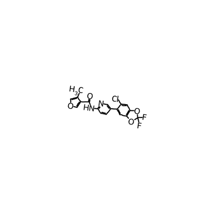 Cc1cocc1C(=O)Nc1ccc(-c2cc3c(cc2Cl)OC(F)(F)O3)cn1